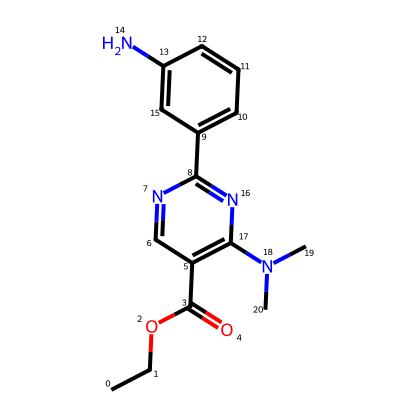 CCOC(=O)c1cnc(-c2cccc(N)c2)nc1N(C)C